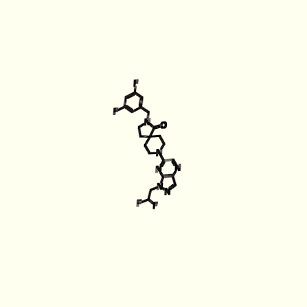 O=C1N(Cc2cc(F)cc(F)c2)CCC12CCN(c1cnc3cnn(CC(F)F)c3n1)CC2